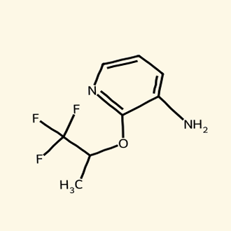 CC(Oc1ncccc1N)C(F)(F)F